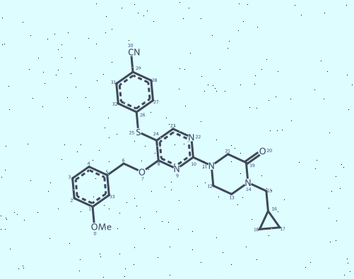 COc1cccc(COc2nc(N3CCN(CC4CC4)C(=O)C3)ncc2Sc2ccc(C#N)cc2)c1